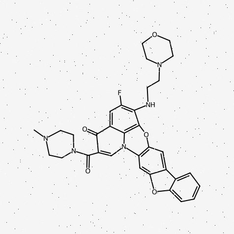 CN1CCN(C(=O)c2cn3c4c(c(NCCN5CCOCC5)c(F)cc4c2=O)Oc2cc4c(cc2-3)oc2ccccc24)CC1